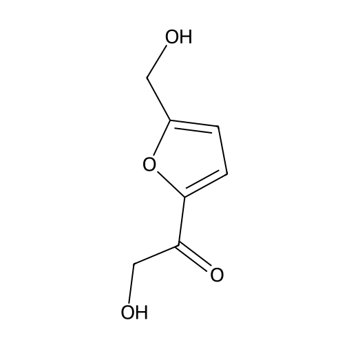 O=C(CO)c1ccc(CO)o1